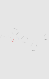 COC(=O)c1ccccc1N(C(C)=O)c1ccc(Oc2ccccc2OCc2ccccc2)cc1